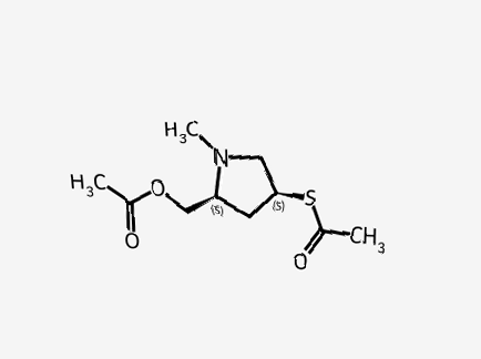 CC(=O)OC[C@@H]1C[C@H](SC(C)=O)CN1C